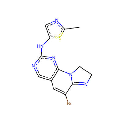 Cc1ncc(Nc2ncc3c(n2)N2CCN=C2C(Br)=C3)s1